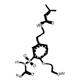 CNC(=O)N(S)S(=O)(=O)c1cc(CCNC(=O)C=C(C)C)ccc1OCCOC